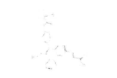 CCC(=C(c1ccc(C=CC(=O)O)cc1)c1ccc(OC(=O)C(C)(C)C)cc1)c1ccccc1